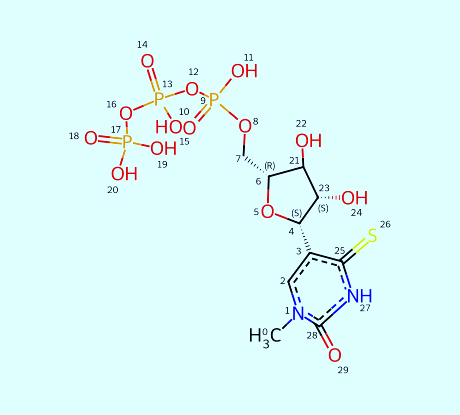 Cn1cc([C@@H]2O[C@H](COP(=O)(O)OP(=O)(O)OP(=O)(O)O)C(O)[C@@H]2O)c(=S)[nH]c1=O